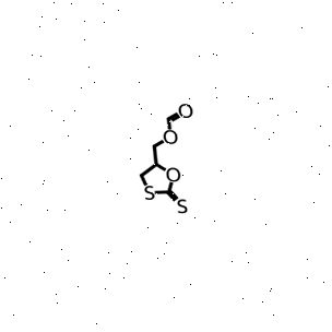 O=COCC1CSC(=S)O1